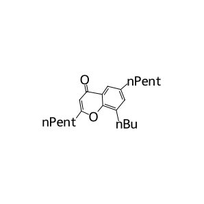 CCCCCc1cc(CCCC)c2oc(CCCCC)cc(=O)c2c1